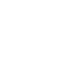 C=CCOC1CC([C@@H](O)[C@H](Cc2cc(F)cc(F)c2)C(=O)O)N(C(=O)OC(C)(C)C)C1